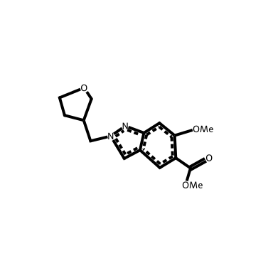 COC(=O)c1cc2cn(CC3CCOC3)nc2cc1OC